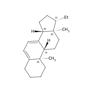 CC[C@H]1CC[C@H]2C3=CC=C4CCCC[C@]4(C)[C@H]3CC[C@]12C